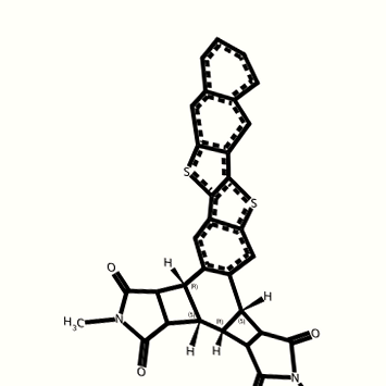 CN1C(=O)C2C(C1=O)[C@H]1c3cc4sc5c6cc7ccccc7cc6sc5c4cc3[C@H]3C4C(=O)N(C)C(=O)C4[C@H]3[C@@H]21